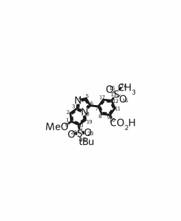 COc1cc2ncc(-c3cc(C(=O)O)cc(S(C)(=O)=O)c3)n2cc1S(=O)(=O)C(C)(C)C